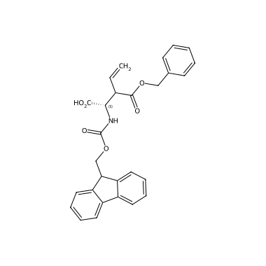 C=CC(C(=O)OCc1ccccc1)[C@H](NC(=O)OCC1c2ccccc2-c2ccccc21)C(=O)O